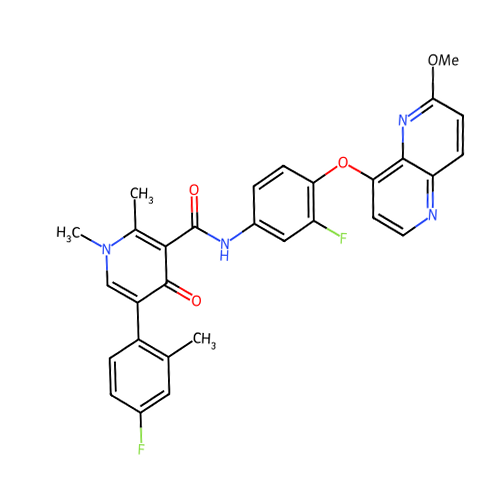 COc1ccc2nccc(Oc3ccc(NC(=O)c4c(C)n(C)cc(-c5ccc(F)cc5C)c4=O)cc3F)c2n1